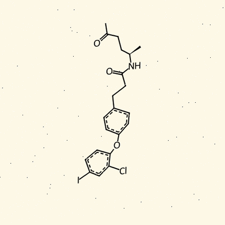 CC(=O)CC[C@@H](C)NC(=O)CCc1ccc(Oc2ccc(I)cc2Cl)cc1